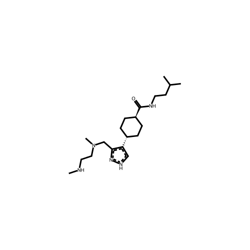 CNCCN(C)Cc1n[nH]cc1[C@H]1CC[C@H](C(=O)NCCC(C)C)CC1